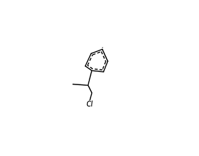 CC(CCl)c1cc[c]cc1